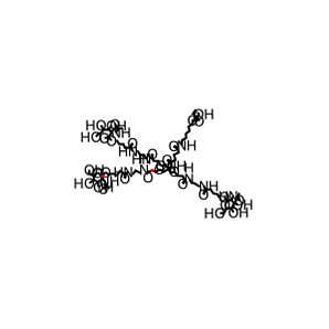 CCP(=O)(O)OCCCCCCNC(=O)CCCC(=O)NC(COCCC(=O)NCCCNC(=O)CCCCOC1OC(CO)C(O)C(O)C1NC(C)=O)(COCCC(=O)NCCCNC(=O)CCCCOC1OC(CO)C(O)C(O)C1NC(C)=O)COCCC(=O)NCCCNC(=O)CCCCOC1OC(CO)C(O)C(O)C1NC(C)=O